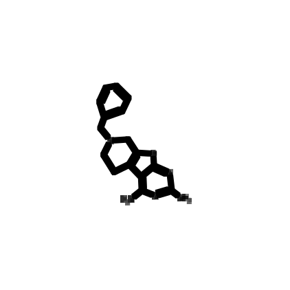 Nc1nc(N)c2c3c(oc2n1)CN(Cc1ccccc1)CC3